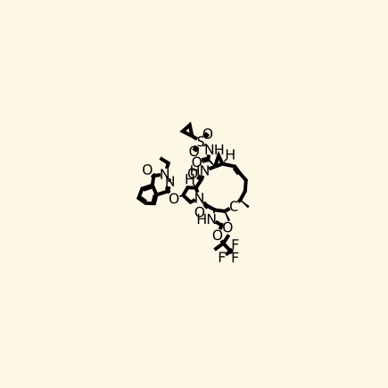 CCn1nc(O[C@@H]2C[C@H]3C(=O)N[C@]4(C(=O)NS(=O)(=O)C5CC5)C[C@H]4/C=C\CC[C@@H](C)C[C@@H](C)[C@H](NC(=O)OC(C)(C)C(F)(F)F)C(=O)N3C2)c2ccccc2c1=O